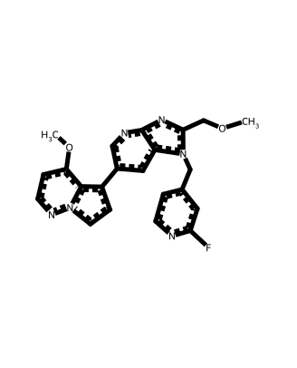 COCc1nc2ncc(-c3ccn4nccc(OC)c34)cc2n1Cc1ccnc(F)c1